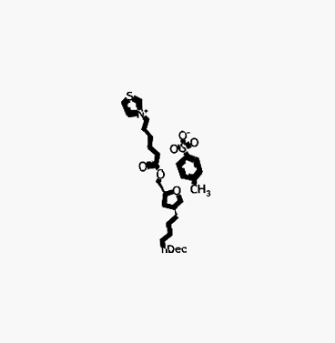 CCCCCCCCCCCCCC[C@H]1CO[C@H](COC(=O)CCCCC[n+]2ccsc2)C1.Cc1ccc(S(=O)(=O)[O-])cc1